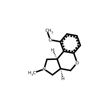 COc1cccc2c1[C@@H]1CN(C)C[C@@H]1CO2